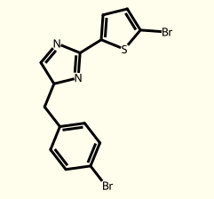 Brc1ccc(CC2C=NC(c3ccc(Br)s3)=N2)cc1